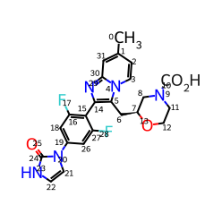 Cc1ccn2c(C[C@H]3CN(C(=O)O)CCO3)c(-c3c(F)cc(-n4cc[nH]c4=O)cc3F)nc2c1